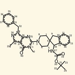 Cn1c(N2CCC3(CC2)Cc2ccccc2C3NC(=O)OC(C)(C)C)nc2c(c(I)nn2Cc2ccccc2)c1=O